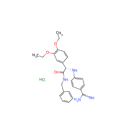 CCOc1ccc([C@H](Nc2ccc(C(=N)N)cc2)C(=O)NCc2ccccc2)cc1OCC.Cl